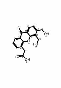 O=C(O)Cc1cccc2c(=O)c3ccc(CO)c(CO)c3oc12